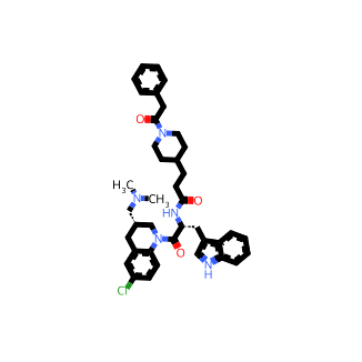 CN(C)C[C@H]1Cc2cc(Cl)ccc2N(C(=O)[C@@H](Cc2c[nH]c3ccccc23)NC(=O)CCC2CCN(C(=O)Cc3ccccc3)CC2)C1